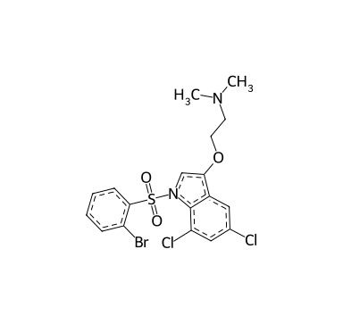 CN(C)CCOc1cn(S(=O)(=O)c2ccccc2Br)c2c(Cl)cc(Cl)cc12